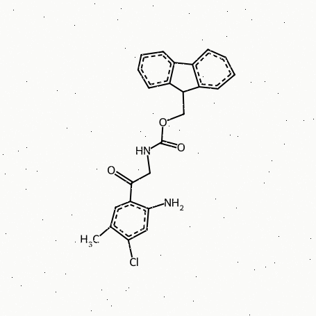 Cc1cc(C(=O)CNC(=O)OCC2c3ccccc3-c3ccccc32)c(N)cc1Cl